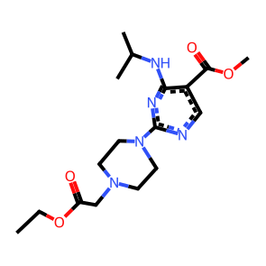 CCOC(=O)CN1CCN(c2ncc(C(=O)OC)c(NC(C)C)n2)CC1